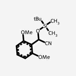 COc1cccc(OC)c1C(C#N)O[Si](C)(C)C(C)(C)C